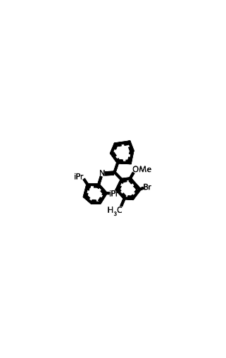 COc1c(Br)cc(C)cc1/C(=N\c1c(C(C)C)cccc1C(C)C)c1ccccc1